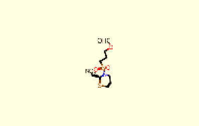 O=COCCCS(=O)(=O)N1CC=CSC1=C[N+](=O)[O-]